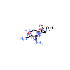 CC(C)C[C@H](NC(=O)[C@H](CC1CCC1)NC(=O)[C@@H]1C/C=C/C[C@H](N)C(=O)N[C@@H](CCCCN)C(=O)N[C@@H](CCCCN)C(=O)N1)C(=O)O